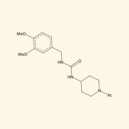 COc1ccc(CNC(=O)NC2CCN(C(C)=O)CC2)cc1OC